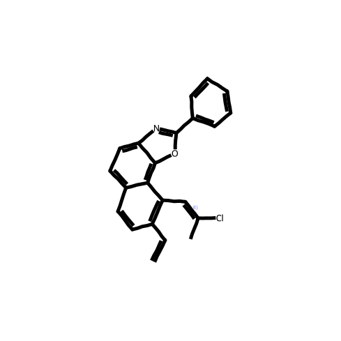 C=Cc1ccc2ccc3nc(-c4ccccc4)oc3c2c1/C=C(\C)Cl